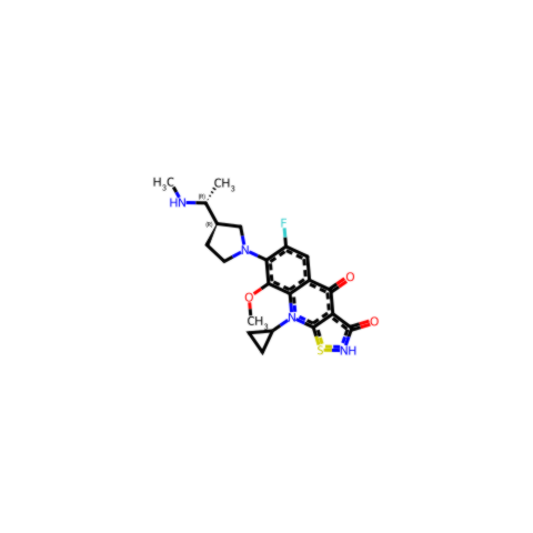 CN[C@H](C)[C@@H]1CCN(c2c(F)cc3c(=O)c4c(=O)[nH]sc4n(C4CC4)c3c2OC)C1